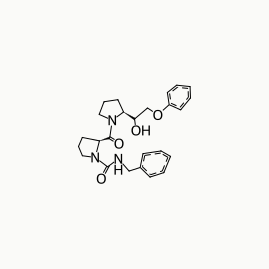 O=C(NCc1ccccc1)N1CCC[C@H]1C(=O)N1CCC[C@H]1C(O)COc1ccccc1